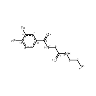 CC(C)C[CH]NC(=O)CNC(=O)c1ccc(F)c(F)c1